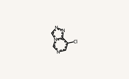 Clc1cncn2cnnc12